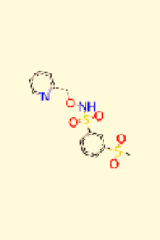 CS(=O)(=O)c1cccc(S(=O)(=O)NOCc2ccccn2)c1